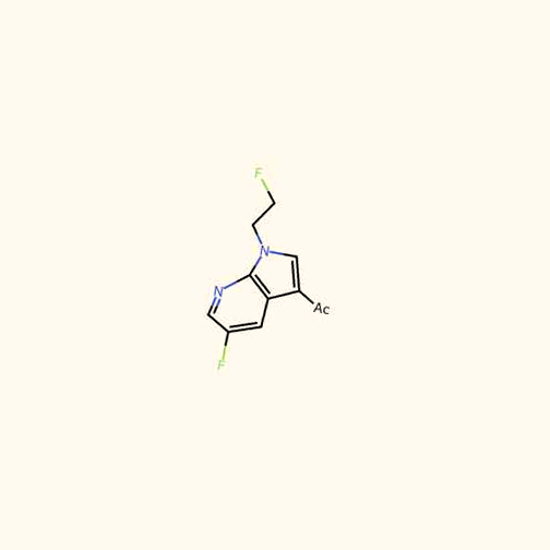 CC(=O)c1cn(CCF)c2ncc(F)cc12